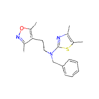 Cc1nc(N(CCc2c(C)noc2C)Cc2ccccc2)sc1C